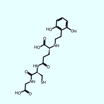 O=C(O)CNC(=O)[C@H](CS)NC(=O)CC[C@H](NCCc1c(O)cccc1O)C(=O)O